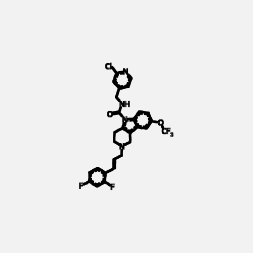 O=C(NCc1ccnc(Cl)c1)n1c2c(c3cc(OC(F)(F)F)ccc31)CN(CC=Cc1ccc(F)cc1F)CC2